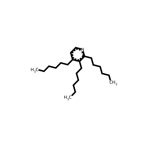 CCCCCCc1ccnc(CCCCCC)c1CCCCCC